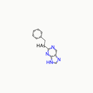 c1ccc(C[AsH]c2ncc3nc[nH]c3n2)cc1